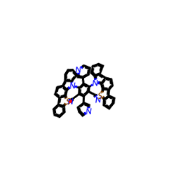 N#Cc1c(-c2cccnc2)c(C#N)c(-n2c3ccccc3c3ccc4c5ccccc5sc4c32)c(-c2cccnc2)c1-n1c2ccccc2c2ccc3c4ccccc4sc3c21